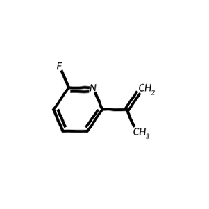 C=C(C)c1cccc(F)n1